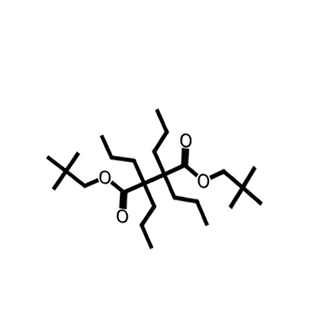 CCCC(CCC)(C(=O)OCC(C)(C)C)C(CCC)(CCC)C(=O)OCC(C)(C)C